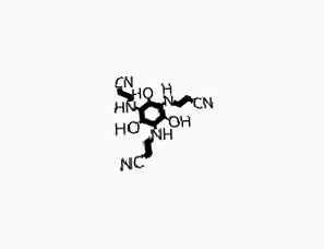 N#CCCN[C@H]1[C@@H](O)[C@@H](NCCC#N)[C@@H](O)[C@@H](NCCC#N)[C@H]1O